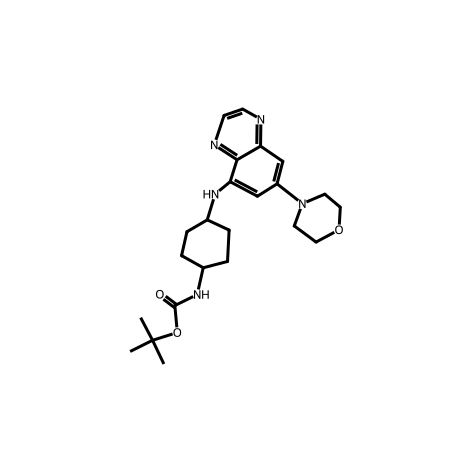 CC(C)(C)OC(=O)NC1CCC(Nc2cc(N3CCOCC3)cc3nccnc23)CC1